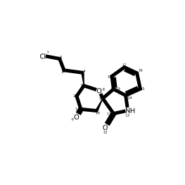 O=C1C[C@@H](CCCCl)O[C@@]2(C1)C(=O)Nc1ccccc12